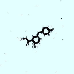 O=C(CBr)c1cc(Cc2ccc(F)cc2)ccc1O